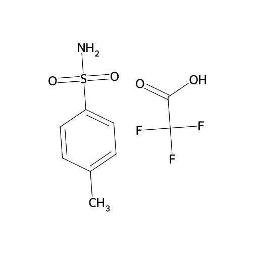 Cc1ccc(S(N)(=O)=O)cc1.O=C(O)C(F)(F)F